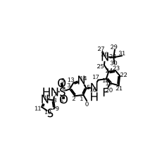 Cc1cc(S(=O)(=O)Nc2cscn2)cnc1NCc1c(F)cccc1CN(C)C(C)(C)C